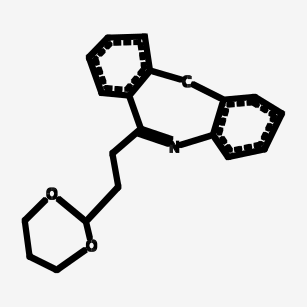 c1ccc2c(c1)Cc1ccccc1C(CCC1OCCCO1)=N2